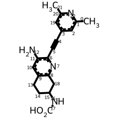 Cc1cc(C#Cc2nc3c(cc2N)CCC(NC(=O)O)C3)cc(C)n1